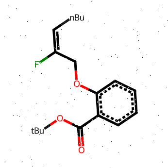 CCCC/C=C(/F)COc1ccccc1C(=O)OC(C)(C)C